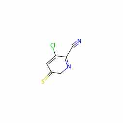 N#CC1=NCC(=S)C=C1Cl